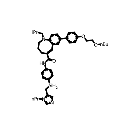 CCCCOCCOc1ccc(-c2ccc3c(c2)/C=C(/C(=O)Nc2ccc([SiH2]Cc4cncn4CCC)cc2)CCCN3CC(C)C)cc1